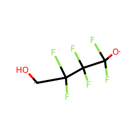 [O]C(F)(F)C(F)(F)C(F)(F)[CH]O